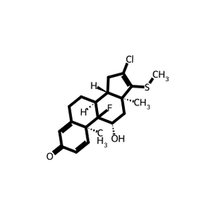 CSC1=C(Cl)C[C@H]2[C@@H]3CCC4=CC(=O)C=C[C@]4(C)C3(F)[C@@H](O)C[C@]12C